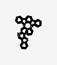 c1ccc(-n2c3ccccc3c3ccc4c5ccccc5n(-c5ccc6c(c5)ncc5c7ccccc7sc65)c4c32)cc1